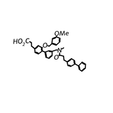 COc1cccc(COc2cc(CCC(=O)O)ccc2-c2cccc(CN(C)C(=O)CCc3ccc(-c4ccccc4)cc3)c2)c1